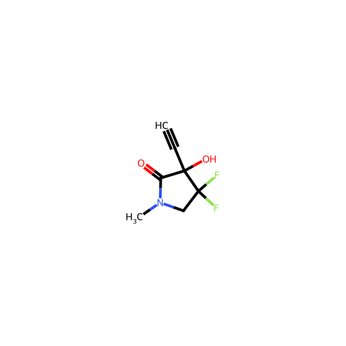 C#CC1(O)C(=O)N(C)CC1(F)F